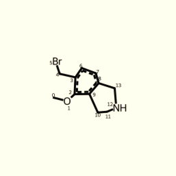 COc1c(CBr)ccc2c1CCNC2